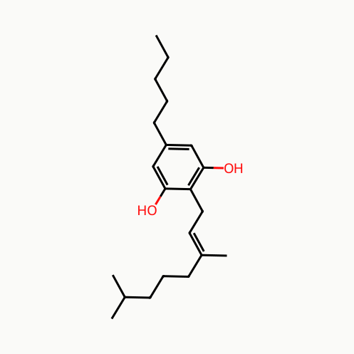 CCCCCc1cc(O)c(C/C=C(\C)CCCC(C)C)c(O)c1